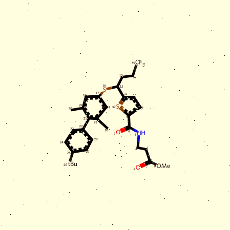 COC(=O)CCNC(=O)c1ccc(C(CCC(F)(F)F)Sc2cc(C)c(-c3ccc(C(C)(C)C)cc3)c(C)c2)s1